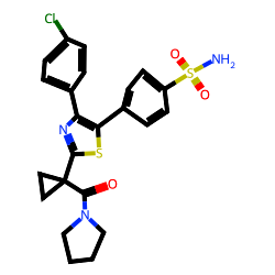 NS(=O)(=O)c1ccc(-c2sc(C3(C(=O)N4CCCC4)CC3)nc2-c2ccc(Cl)cc2)cc1